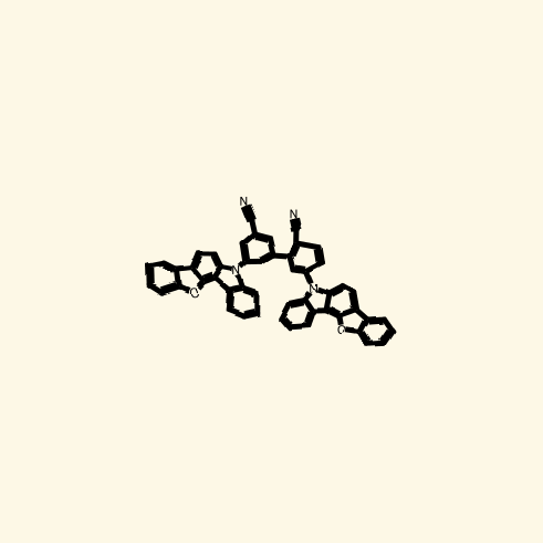 N#Cc1cc(-c2cc(-n3c4ccccc4c4c5oc6ccccc6c5ccc43)ccc2C#N)cc(-n2c3ccccc3c3c4oc5ccccc5c4ccc32)c1